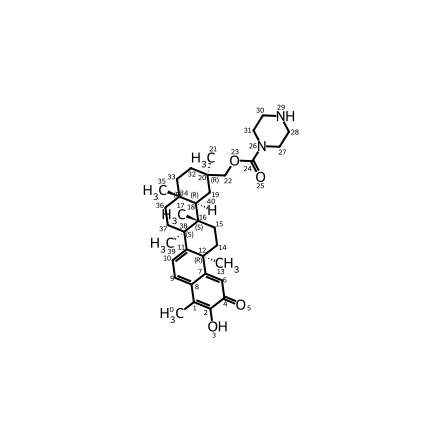 CC1=C(O)C(=O)C=C2C1=CC=C1[C@@]2(C)CC[C@@]2(C)[C@@H]3C[C@](C)(COC(=O)N4CCNCC4)CC[C@@]3(C)CC[C@]12C